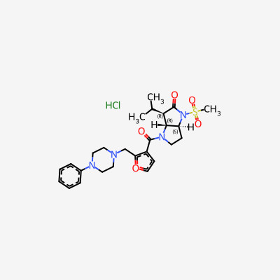 CC(C)[C@H]1C(=O)N(S(C)(=O)=O)[C@H]2CCN(C(=O)c3ccoc3CN3CCN(c4ccccc4)CC3)[C@H]12.Cl